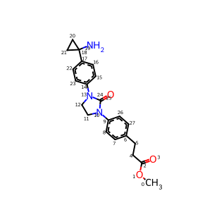 COC(=O)CCc1ccc(N2CCN(c3ccc(C4(N)CC4)cc3)C2=O)cc1